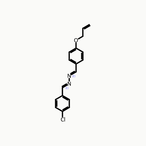 C=CCOc1ccc(/C=N/N=C/c2ccc(Cl)cc2)cc1